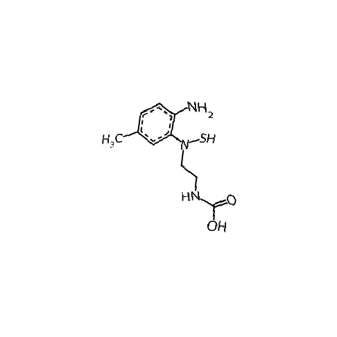 Cc1ccc(N)c(N(S)CCNC(=O)O)c1